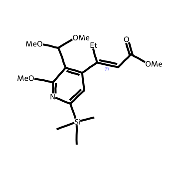 CC/C(=C\C(=O)OC)c1cc([Si](C)(C)C)nc(OC)c1C(OC)OC